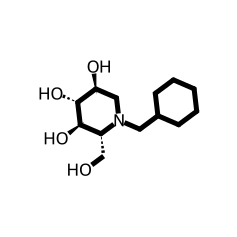 OC[C@@H]1[C@@H](O)[C@H](O)[C@@H](O)CN1CC1CCCCC1